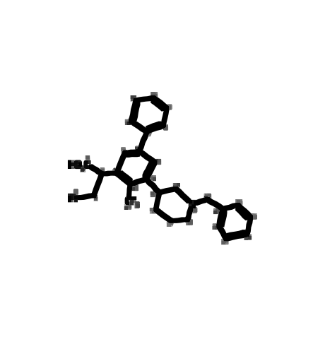 CC(C)CC(C(=O)O)c1cc(-c2ccccc2)cc(C2CCCN(Cc3ccccc3)C2)c1C(F)(F)F